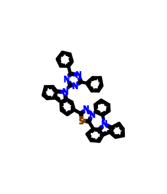 c1ccc(-c2nc(-c3ccccc3)nc(-n3c4ccccc4c4ccc(-c5nnc(-c6cccc7c8ccccc8n(-c8ccccc8)c67)s5)cc43)n2)cc1